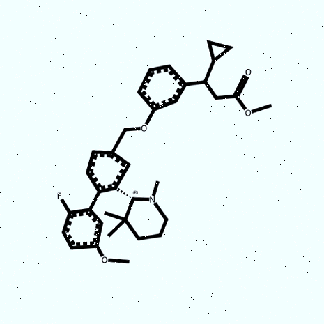 COC(=O)CC(c1cccc(OCc2ccc(-c3cc(OC)ccc3F)c([C@@H]3N(C)CCCC3(C)C)c2)c1)C1CC1